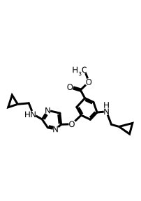 COC(=O)c1cc(NCC2CC2)cc(Oc2cnc(NCC3CC3)cn2)c1